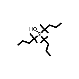 CCCC(C)(C)[Si](O)(C(C)(C)CCC)C(C)(C)CCC